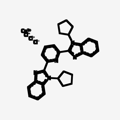 [Cl-].[Cl-].[Cl-].[Co+3].c1cc(-c2nc3ccccc3n2C2CCCC2)nc(-c2nc3ccccc3n2C2CCCC2)c1